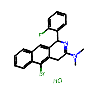 CN(C)C1=NC(c2ccccc2F)c2cc3ccccc3c(Br)c2C1.Cl